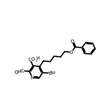 CC(C)(C)c1cnc(C=O)c(C(=O)O)c1CCCCCOC(=O)c1ccccc1